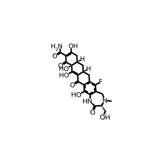 CN1Cc2c(F)c3c(c(O)c2NC(=O)[C@@H]1CO)C(=O)C1=C(O)[C@]2(O)C(=O)C(C(N)=O)=C(O)C[C@@H]2C[C@@H]1C3